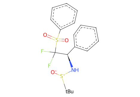 CC(C)(C)[S+]([O-])N[C@H](c1ccccc1)C(F)(F)S(=O)(=O)c1ccccc1